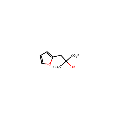 O=C(O)C(O)(Cc1ccco1)C(=O)O